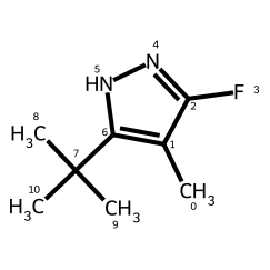 Cc1c(F)n[nH]c1C(C)(C)C